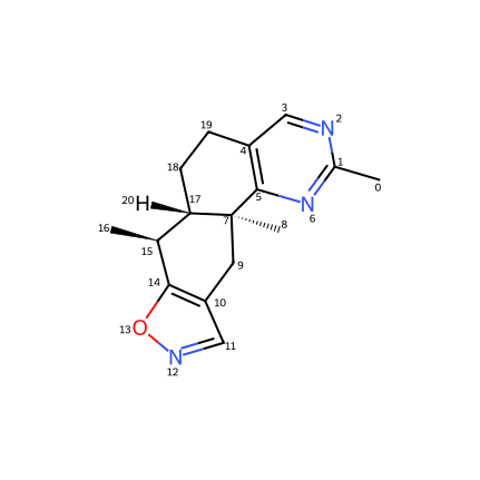 Cc1ncc2c(n1)[C@@]1(C)Cc3cnoc3[C@@H](C)[C@@H]1CC2